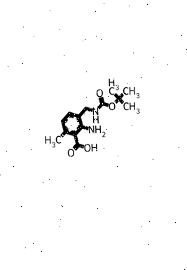 Cc1ccc(CNC(=O)OC(C)(C)C)c(N)c1C(=O)O